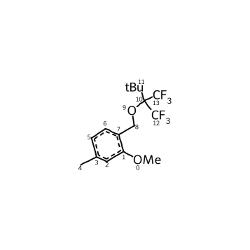 COc1cc(C)ccc1COC(C(C)(C)C)(C(F)(F)F)C(F)(F)F